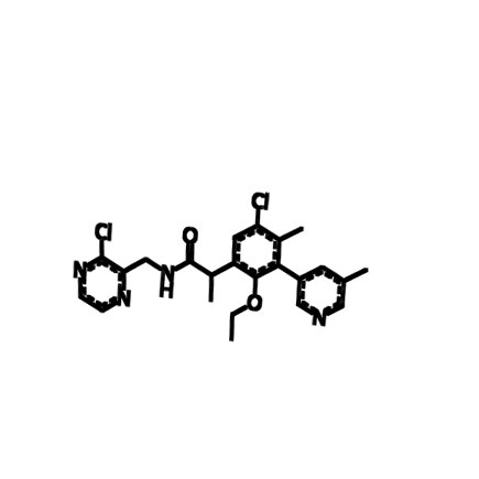 CCOc1c(C(C)C(=O)NCc2nccnc2Cl)cc(Cl)c(C)c1-c1cncc(C)c1